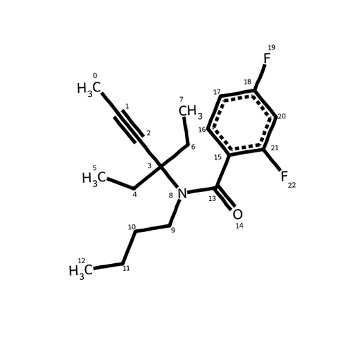 CC#CC(CC)(CC)N(CCCC)C(=O)c1ccc(F)cc1F